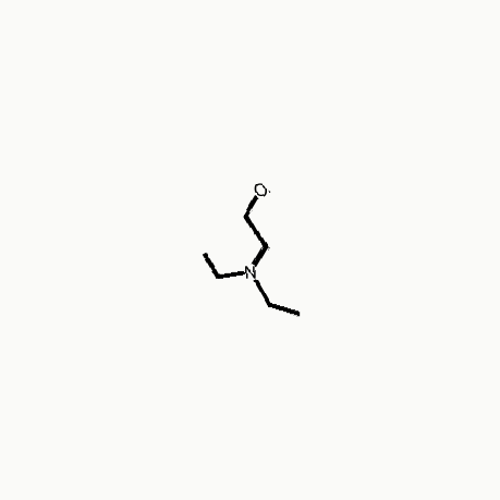 CCN(CC)CC[O]